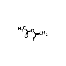 C=C(F)OC(C)=O